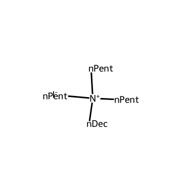 CCCCCCCCCC[N+](CCCCC)(CCCCC)CCCCC.[I-]